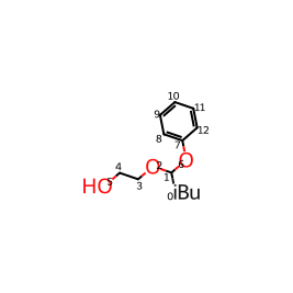 CCC(C)C(OCCO)Oc1ccccc1